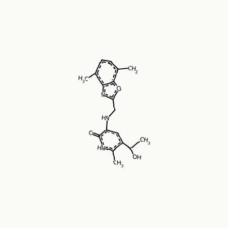 Cc1[nH]c(=O)c(NCc2nc3c(C)ccc(C)c3o2)cc1C(C)O